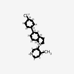 Cc1ccncc1-n1ccc2cc(-c3ccc(Cl)cc3)ccc21